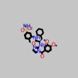 COc1ccc(C(=O)n2ccnc2N[C@H](CC2CCCCC2)C(=O)Nc2cc(S(N)(=O)=O)ccc2C)cc1OC